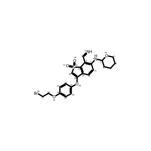 N=Cc1c(NC2CCCCO2)ccc2c1S(=O)(=O)C=C2Oc1ccc(OCCBr)cc1